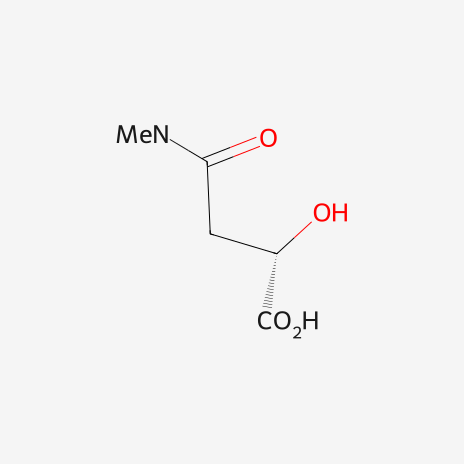 CNC(=O)C[C@H](O)C(=O)O